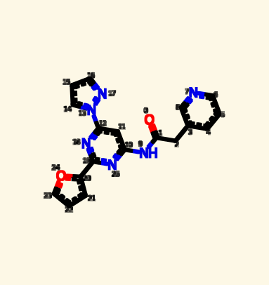 O=C(Cc1cccnc1)Nc1cc(-n2cccn2)nc(-c2ccco2)n1